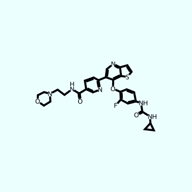 O=C(Nc1ccc(Oc2c(-c3ccc(C(=O)NCCN4CCOCC4)cn3)cnc3ccsc23)c(F)c1)NC1CC1